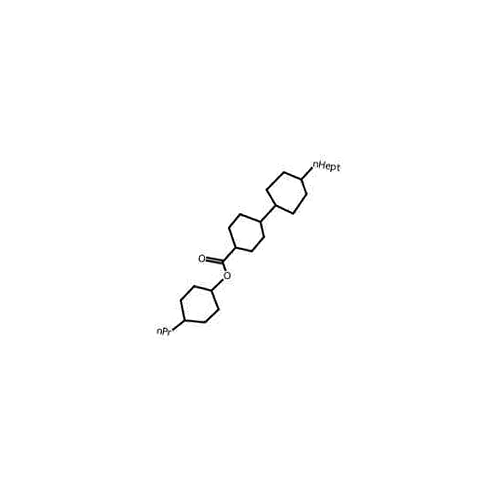 CCCCCCCC1CCC(C2CCC(C(=O)OC3CCC(CCC)CC3)CC2)CC1